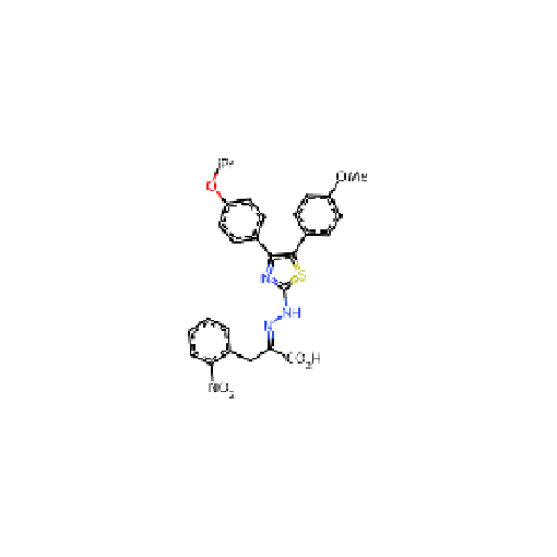 COc1ccc(-c2sc(N/N=C(/Cc3ccccc3[N+](=O)[O-])C(=O)O)nc2-c2ccc(OC(C)C)cc2)cc1